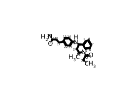 CCC(=O)N1c2ccccc2[C@H](Nc2ccc(CCC(N)=O)cc2)C[C@@H]1C